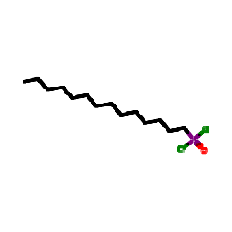 CCCCCCCCCCCCCCP(=O)(Cl)Cl